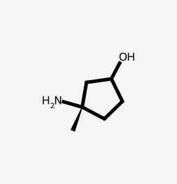 C[C@]1(N)CCC(O)C1